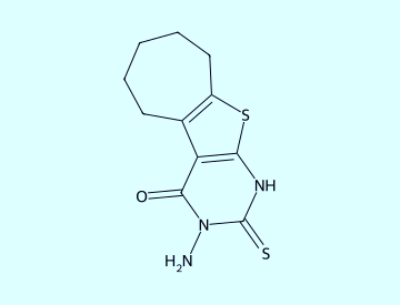 Nn1c(=S)[nH]c2sc3c(c2c1=O)CCCCC3